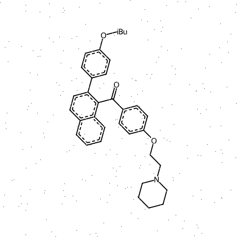 CCC(C)Oc1ccc(-c2ccc3ccccc3c2C(=O)c2ccc(OCCN3CCCCC3)cc2)cc1